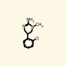 CN1CC(c2ccccc2Cl)CN=C1N